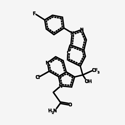 NC(=O)Cn1cc(C(O)(c2ccc3c(cnn3-c3ccc(F)cc3)c2)C(F)(F)F)c2ccnc(Cl)c21